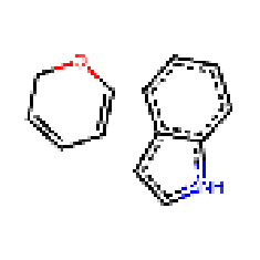 C1=CCOC=C1.c1ccc2[nH]ccc2c1